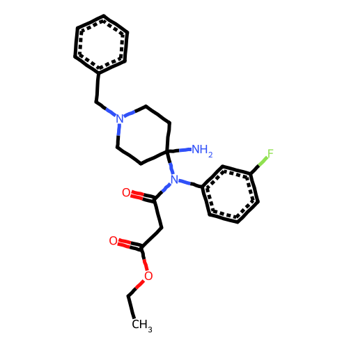 CCOC(=O)CC(=O)N(c1cccc(F)c1)C1(N)CCN(Cc2ccccc2)CC1